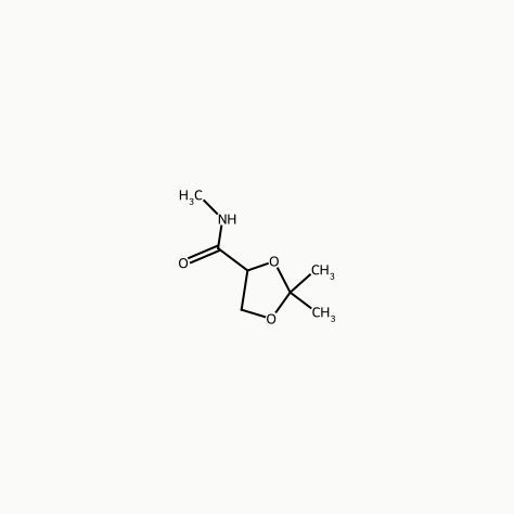 CNC(=O)C1COC(C)(C)O1